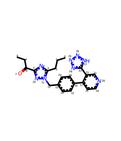 CCCc1nc(C(=O)CC)nn1Cc1ccc(-c2ccncc2-c2nnn[nH]2)cc1